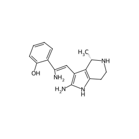 C[C@@H]1NCCc2[nH]c(N)c(/C=C(\N)c3ccccc3O)c21